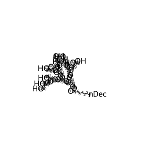 CCCCCCCCCCCCCCCCCC(=O)OOCC(COOCC(COOCC(O)CO)OOCC(O)CO)OOCC(COOCC(CO)OOCC(O)CO)OOCC(COOCC(O)CO)OOCC(O)CO